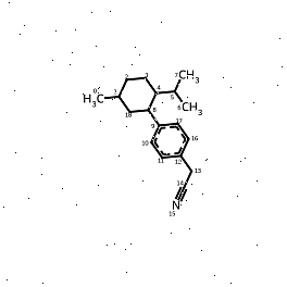 CC1CCC(C(C)C)C(c2ccc(CC#N)cc2)C1